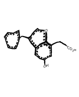 O=C(O)Cc1cc(O)cc2c(-c3ccccc3)coc12